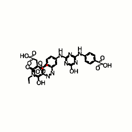 CCn1c(O)c(/N=N\c2cc(Nc3nc(O)nc(Nc4ccc(S(=O)(=O)O)cc4)n3)ccc2S(=O)(=O)O)c(C)c(CS(=O)(=O)O)c1=O